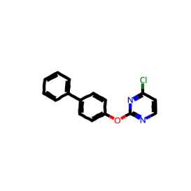 Clc1ccnc(Oc2ccc(-c3ccccc3)cc2)n1